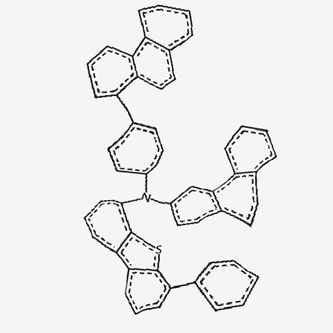 c1ccc(-c2cccc3c2sc2c(N(c4ccc(-c5cccc6c5ccc5ccccc56)cc4)c4ccc5ccc6ccccc6c5c4)cccc23)cc1